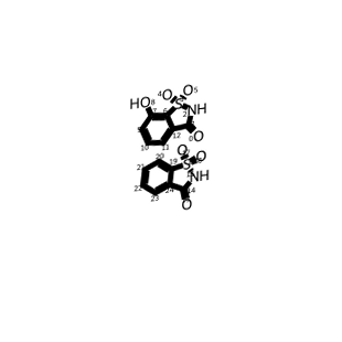 O=C1NS(=O)(=O)c2c(O)cccc21.O=C1NS(=O)(=O)c2ccccc21